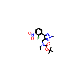 CCN(Cc1nn(C)nc1-c1cccc([N+](=O)[O-])c1F)C(=O)OC(C)(C)C